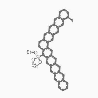 CCO[Si](OCC)(OCC)c1c2cc3cc4cc5ccccc5cc4cc3cc2cc2c1ccc1cc3cc4cc5cccc(I)c5cc4cc3cc12